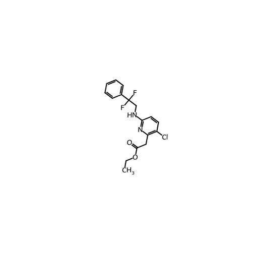 CCOC(=O)Cc1nc(NCC(F)(F)c2ccccc2)ccc1Cl